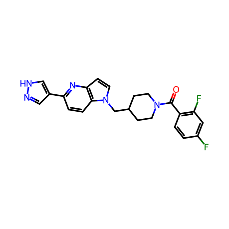 O=C(c1ccc(F)cc1F)N1CCC(Cn2ccc3nc(-c4cn[nH]c4)ccc32)CC1